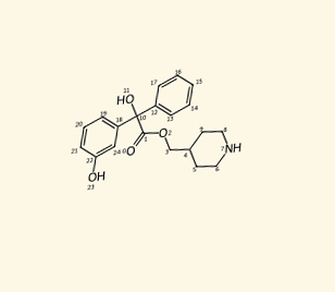 O=C(OCC1CCNCC1)C(O)(c1ccccc1)c1cccc(O)c1